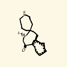 O=C1NC2(CCNCC2)Cc2ccccc21